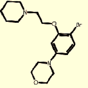 Brc1ccc(N2CCOCC2)cc1OCCN1CCCCC1